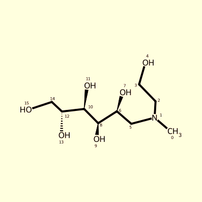 CN(CCO)C[C@H](O)[C@@H](O)[C@H](O)[C@H](O)CO